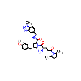 COc1ccc(C[C@@H]2C[C@@H](C(=O)NCc3ccc4c(c3)nnn4C)N(C(=O)[C@H](N)CCC(=O)N3C(C)CCC3C)C2)cc1